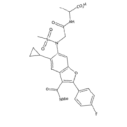 CNC(=O)c1c(-c2ccc(F)cc2)oc2cc(N(CC(=O)NC(C)C(=O)O)S(C)(=O)=O)c(C3CC3)cc12